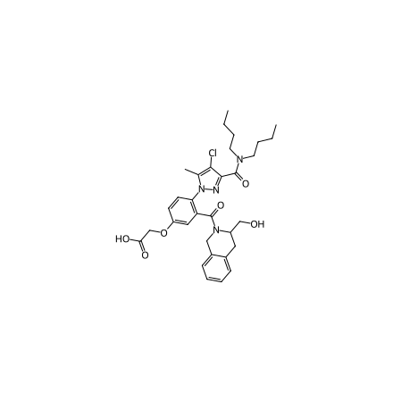 CCCCN(CCCC)C(=O)c1nn(-c2ccc(OCC(=O)O)cc2C(=O)N2Cc3ccccc3CC2CO)c(C)c1Cl